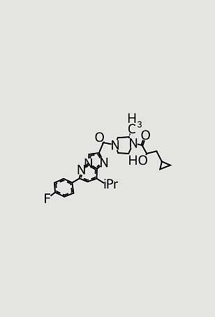 CC(C)c1cc(-c2ccc(F)cc2)nn2cc(C(=O)N3CCN(C(=O)[C@H](O)CC4CC4)[C@@H](C)C3)nc12